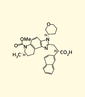 COC(=O)N1c2ccc3c(nc(C[C@H](C(=O)O)c4ccc5ccccc5c4)n3[C@H]3CCCOC3)c2CC[C@@H]1C